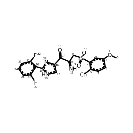 COc1ccc(Cl)c(S(=O)(=O)CC(=N)C(=O)c2c[nH]c(-c3c(F)cccc3F)n2)c1